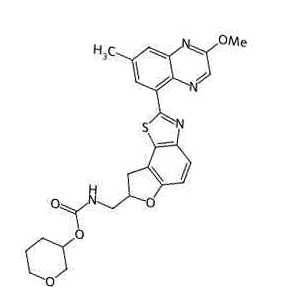 COc1cnc2c(-c3nc4ccc5c(c4s3)CC(CNC(=O)OC3CCCOC3)O5)cc(C)cc2n1